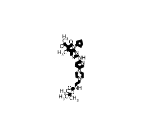 CC(=O)c1c(C)c2cnc(Nc3ccc(N4CCN(CCNC(=O)OC(C)(C)C)CC4)cn3)nc2n(C2CCCC2)c1=O